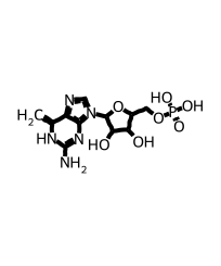 C=C1NC(N)=Nc2c1ncn2C1OC(COP(=O)(O)O)C(O)C1O